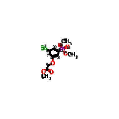 COC(=O)COc1cc(Br)cc(P(=O)(OC)OC)c1